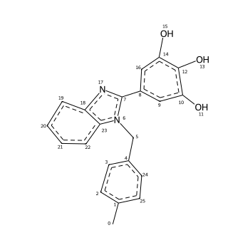 Cc1ccc(Cn2c(-c3cc(O)c(O)c(O)c3)nc3ccccc32)cc1